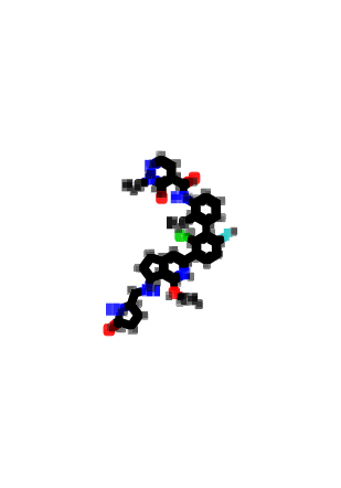 COc1nc(-c2ccc(F)c(-c3cccc(NC(=O)c4ccnn(C)c4=O)c3C)c2Cl)cc2c1C(NCC1CCC(=O)N1)CC2